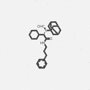 O=CN([C@H](C(=O)NCCCc1ccccc1)C1CCCCC1)C12CC3CC(CC(C3)C1)C2